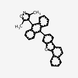 Cc1noc(C)c1-c1c2ccccc2c(-c2ccc3c(c2)oc2c4ccccc4ccc32)c2ccccc12